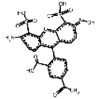 CC(=O)c1ccc(-c2c3cc/c(=N\O)c(S(=O)(=O)O)c-3oc3c(S(=O)(=O)O)c(N)ccc23)c(C(=O)O)c1